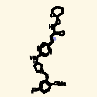 COc1ccc(F)cc1CN1CC[C@@H](Nc2cnc(/C=C/C(=O)NOC3CCCCO3)cn2)C1